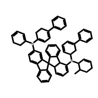 CC1CCC=CC1N(C1=CC=CC2C1c1ccccc1C21c2ccccc2-c2ccc(N(C3=CC=CCC3)C3=CC=C(c4ccccc4)CC3)cc21)C1C=CC=C(c2ccccc2)C1